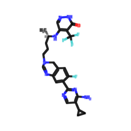 C[C@@H](CCCN1C=Nc2cc(-c3ncc(C4CC4)c(N)n3)c(F)cc2C1)Nc1cn[nH]c(=O)c1C(F)(F)F